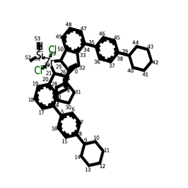 CC1=Cc2c(-c3ccc(C4CCCCC4)cc3)cccc2[CH]1[Zr]([Cl])([Cl])([CH]1C(C2CCCC2)=Cc2c(-c3ccc(C4CCCCC4)cc3)cccc21)[SiH](C)C